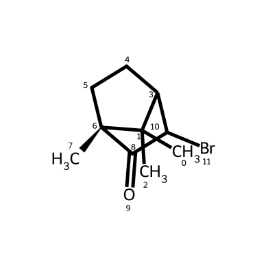 CC1(C)C2CC[C@@]1(C)C(=O)C2Br